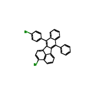 Brc1ccc(-c2c3c(c(-c4ccccc4)c4ccccc24)-c2cccc4c(Br)ccc-3c24)cc1